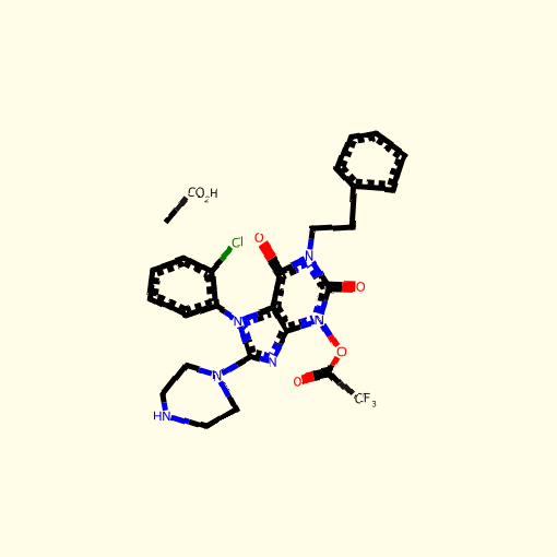 CC(=O)O.O=C(On1c(=O)n(CCc2ccccc2)c(=O)c2c1nc(N1CCNCC1)n2-c1ccccc1Cl)C(F)(F)F